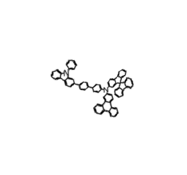 c1ccc(-n2c3ccccc3c3ccc(-c4ccc(-c5ccc(N(c6ccc7c(c6)C6(c8ccccc8-c8ccccc86)c6ccccc6-7)c6ccc7c8ccccc8c8ccccc8c7c6)cc5)cc4)cc32)cc1